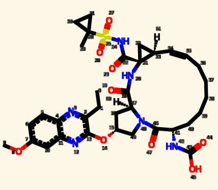 CCc1nc2ccc(OC)cc2nc1O[C@@H]1C[C@H]2C(=O)N[C@]3(C(=O)NS(=O)(=O)C4(C)CC4)C[C@H]3/C=C\CCCCC[C@H](NC(=O)O)C(=O)N2C1